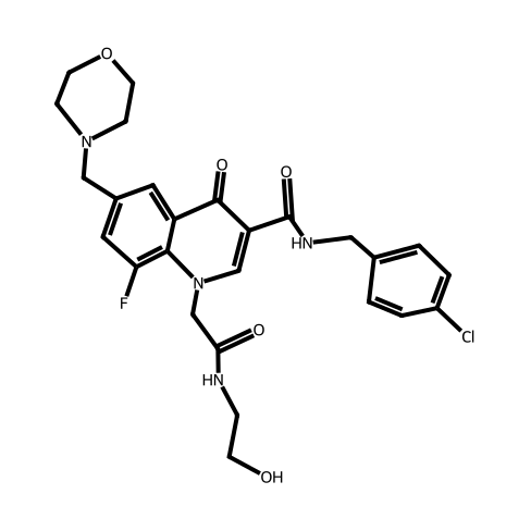 O=C(Cn1cc(C(=O)NCc2ccc(Cl)cc2)c(=O)c2cc(CN3CCOCC3)cc(F)c21)NCCO